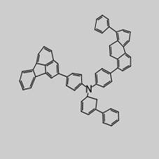 C1=CC(N(c2ccc(-c3cc4c5c(cccc5c3)-c3ccccc3-4)cc2)c2ccc(-c3cccc4c3ccc3c(-c5ccccc5)cccc34)cc2)CC(c2ccccc2)=C1